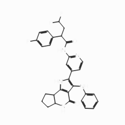 O=C1NC2CCCC2c2[nH]c(-c3ccnc(NC(=O)C(CC(F)F)c4ccc(F)cc4)c3)c(Nc3ccccc3)c21